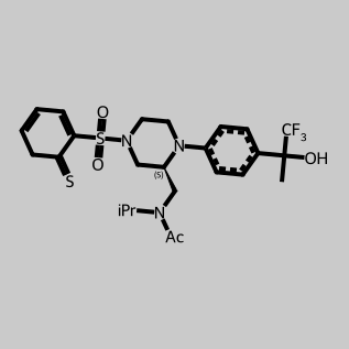 CC(=O)N(C[C@H]1CN(S(=O)(=O)C2=CC=CCC2=S)CCN1c1ccc(C(C)(O)C(F)(F)F)cc1)C(C)C